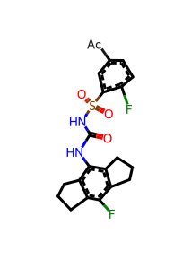 CC(=O)c1ccc(F)c(S(=O)(=O)NC(=O)Nc2c3c(c(F)c4c2CCC4)CCC3)c1